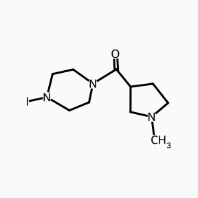 CN1CCC(C(=O)N2CCN(I)CC2)C1